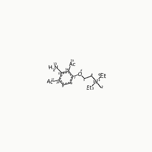 CC[N+](C)(CC)CCOc1ccc(C(C)=O)c(N)c1C(C)=O